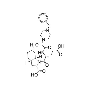 C[C@@H](C(=O)N[C@H](CCC(=O)O)C(=O)N1[C@H](C(=O)O)C[C@@H]2CCCC[C@@H]21)N1CCN(Cc2ccccc2)CC1